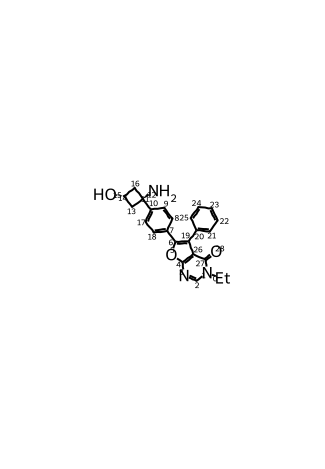 CCn1cnc2oc(-c3ccc([C@]4(N)C[C@H](O)C4)cc3)c(-c3ccccc3)c2c1=O